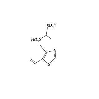 C=Cc1scnc1C.CC(S(=O)(=O)O)S(=O)(=O)O